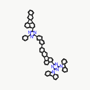 c1ccc(-c2nc(-c3ccc4ccc(-c5ccc6cc7c(cc6c5)-c5ccc(-c6nc(-n8c9ccccc9c9ccccc98)nc(-n8c9ccccc9c9ccccc98)n6)c6cccc-7c56)cc4c3)nc(-c3ccc4c5c(cccc35)-c3cc5ccccc5cc3-4)n2)cc1